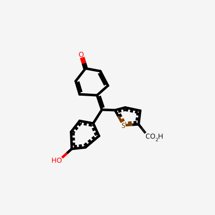 O=C1C=CC(=C(c2ccc(O)cc2)c2ccc(C(=O)O)s2)C=C1